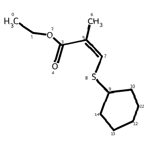 CCOC(=O)C(C)=CSC1CCCCC1